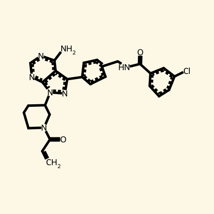 C=CC(=O)N1CCCC(n2nc(-c3ccc(CNC(=O)c4cccc(Cl)c4)cc3)c3c(N)ncnc32)C1